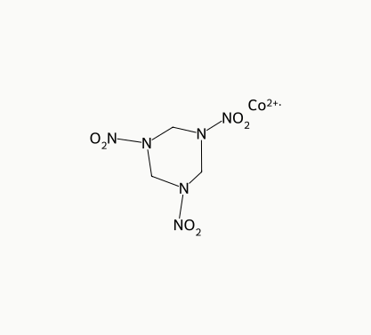 O=[N+]([O-])N1CN([N+](=O)[O-])CN([N+](=O)[O-])C1.[Co+2]